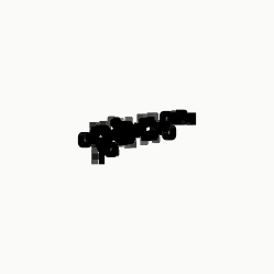 Cc1cc(N2CCN(C(=O)OC(C)(C)C)CC2)ccc1C1CCC(=O)NC1=O